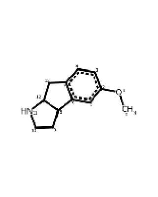 COc1ccc2c(c1)C1CCNC1C2